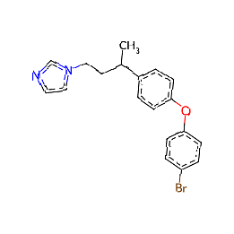 CC(CCn1ccnc1)c1ccc(Oc2ccc(Br)cc2)cc1